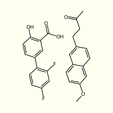 COc1ccc2cc(CCC(C)=O)ccc2c1.O=C(O)c1cc(-c2ccc(F)cc2F)ccc1O